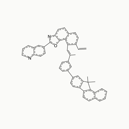 C=Cc1ccc2ccc3nc(-c4ccc5ncccc5c4)oc3c2c1/C=C(\C)c1cccc(-c2ccc3c(c2)C(C)(C)c2c-3ccc3ccccc23)c1